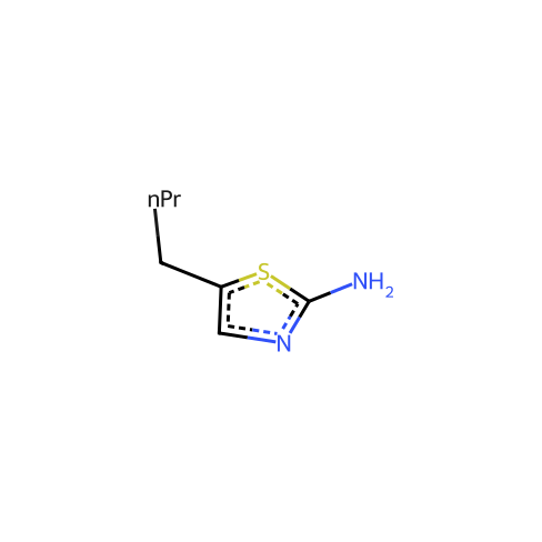 CCCCc1cnc(N)s1